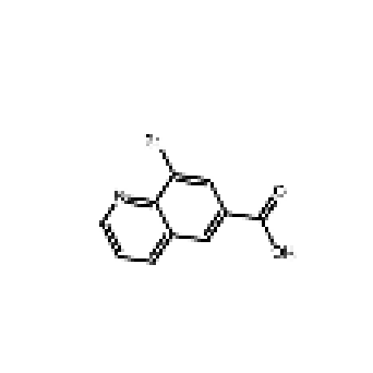 O=C(O)c1cc(Br)c2ncccc2c1